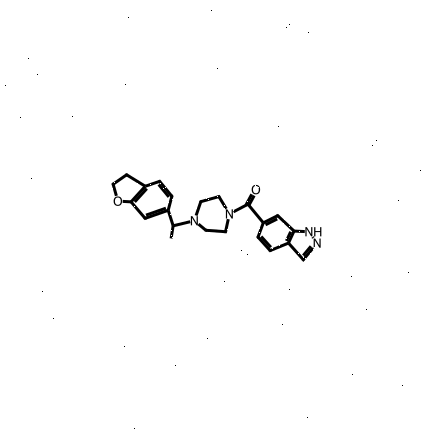 CC(c1ccc2c(c1)OCC2)N1CCN(C(=O)c2ccc3cn[nH]c3c2)CC1